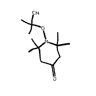 CC(C)(C#N)ON1C(C)(C)CC(=O)CC1(C)C